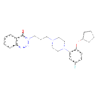 O=c1c2ccccc2nnn1CCCN1CCN(c2cc(F)ccc2OC2CCCC2)CC1